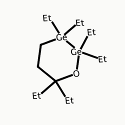 CCC1(CC)C[CH2][Ge]([CH2]C)([CH2]C)[Ge]([CH2]C)([CH2]C)[O]1